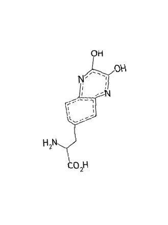 NC(Cc1ccc2nc(O)c(O)nc2c1)C(=O)O